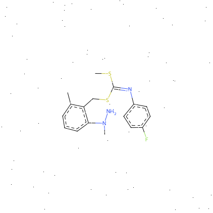 CS/C(=N/c1ccc(F)cc1)SCc1c(C)cccc1N(C)N